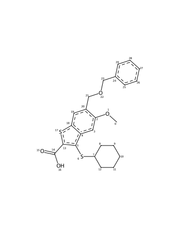 COc1cc2c(SC3CCCCC3)c(C(=O)O)sc2cc1COCc1ccccc1